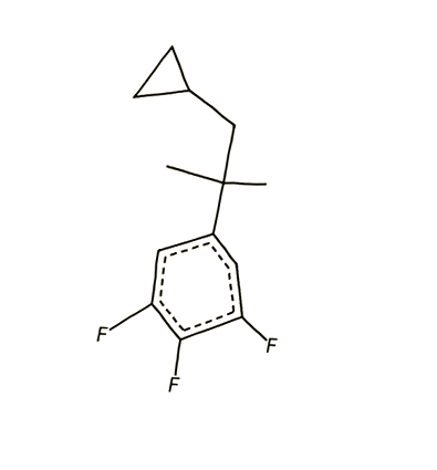 CC(C)(CC1CC1)c1cc(F)c(F)c(F)c1